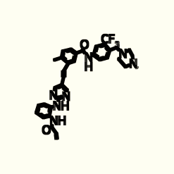 C=CC(=O)Nc1ccccc1Nc1ncc(C#Cc2cc(C(=O)Nc3ccc(CN4CCN(C)CC4)c(C(F)(F)F)c3)ccc2C)cn1